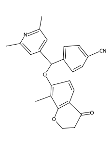 Cc1cc(C(Oc2ccc3c(c2C)OCCC3=O)c2ccc(C#N)cc2)cc(C)n1